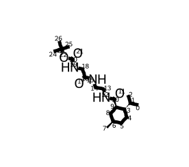 CC(C)[C@@H]1CC[C@@H](C)C[C@H]1C(=O)NCCNC(=O)CNC(=O)OC(C)(C)C